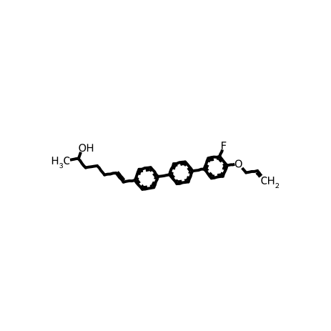 C=CCOc1ccc(-c2ccc(-c3ccc(C=CCCCC(C)O)cc3)cc2)cc1F